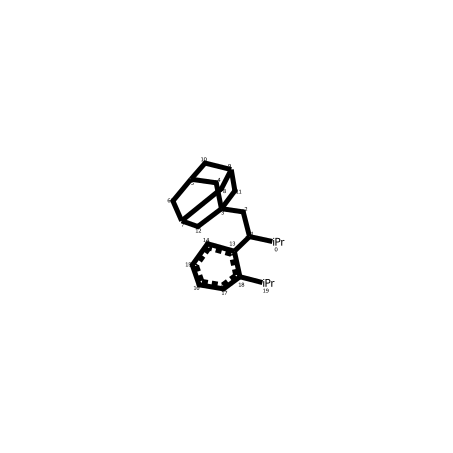 CC(C)[C](CC12CC3CC(CC(C3)C1)C2)c1ccccc1C(C)C